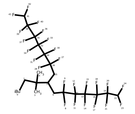 [CH2]CC(C)CC(C)(C)[C](CC(F)(F)C(F)(F)C(F)(F)C(F)(F)C(F)(F)C(F)F)CC(F)(F)C(F)(F)C(F)(F)C(F)(F)C(F)(F)C(F)F